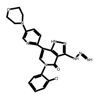 N=NNc1n[nH]c2c(-c3ccc(N4CCOCC4)cn3)cn(-c3ccccc3Cl)c(=O)c12